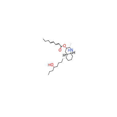 CCC/C=C/C=C/C(=O)O[C@@H]1C[C@H]2[C@@H](CCCCC(O)CCC)CCC[C@H]2N[C@H]1C